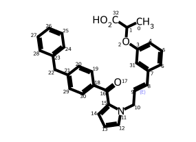 CC(Oc1cccc(/C=C/Cn2cccc2C(=O)c2ccc(Cc3ccccc3)cc2)c1)C(=O)O